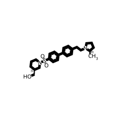 C[C@@H]1CCCN1CCc1ccc(-c2ccc(S(=O)(=O)N3CCC[C@H](CO)C3)cc2)cc1